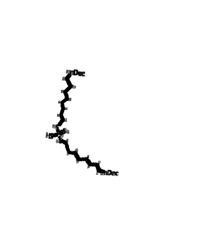 CCCCCCCCCCCCCCCCCCSP(=S)(S)SCCCCCCCCCCCCCCCCCC